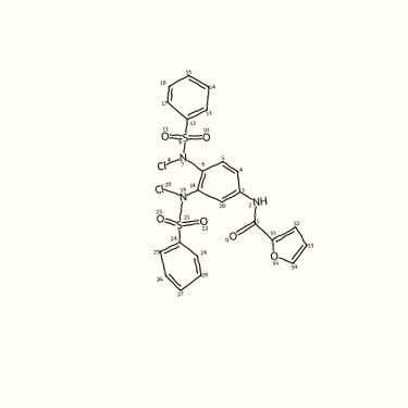 O=C(Nc1ccc(N(Cl)S(=O)(=O)c2ccccc2)c(N(Cl)S(=O)(=O)c2ccccc2)c1)c1ccco1